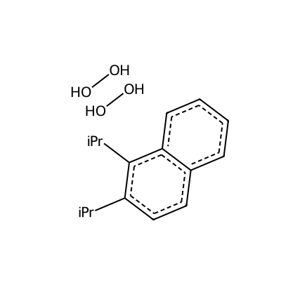 CC(C)c1ccc2ccccc2c1C(C)C.OO.OO